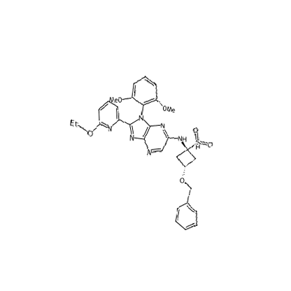 CCOc1cccc(-c2nc3ncc(N[C@]4([SH](=O)=O)C[C@@H](OCc5ccccc5)C4)nc3n2-c2c(OC)cccc2OC)n1